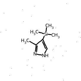 Cc1n[nH]cc1[Si](C)(C)C